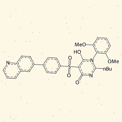 CCCCc1nc(=O)c(S(=O)(=O)c2ccc(-c3ccc4ncccc4c3)cc2)c(O)n1-c1c(OC)cccc1OC